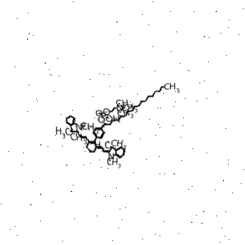 CCCCCCCCCCCCCCCCCC(OP(=O)(O)OCC[N+](C)(C)C)c1ccc(C2=C(/C=C/C3=[N+](C)c4ccccc4C3(C)C)CCC/C2=C\C=C2\N(C)c3ccccc3C2(C)C)cc1